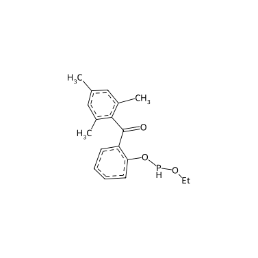 CCOPOc1ccccc1C(=O)c1c(C)cc(C)cc1C